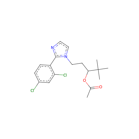 CC(=O)OC(CCn1ccnc1-c1ccc(Cl)cc1Cl)C(C)(C)C